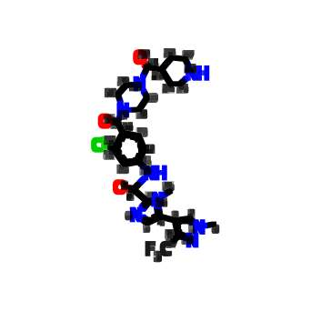 Cn1cc(-c2cnc(C(=O)Nc3ccc(C(=O)N4CCN(C(=O)C5CCNCC5)CC4)c(Cl)c3)n2C)c(C(F)(F)F)n1